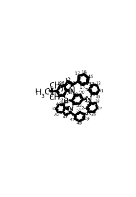 CC(C)(C)c1cc2c3c(c1)cc(-c1ccccc1)n3-c1cc(N(c3ccccc3)c3ccccc3)cc3c1B2c1cccc2cc(-c4ccccc4)n-3c12